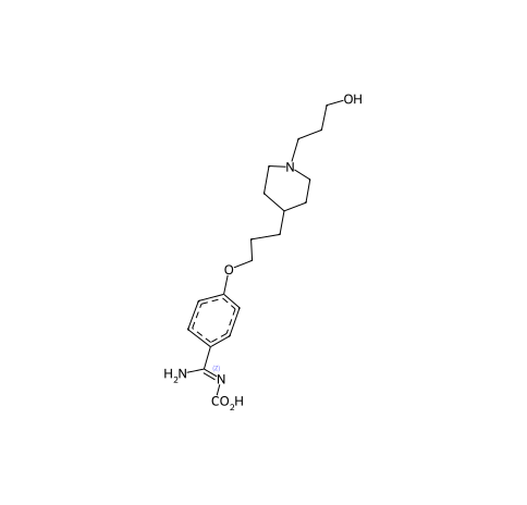 N/C(=N\C(=O)O)c1ccc(OCCCC2CCN(CCCO)CC2)cc1